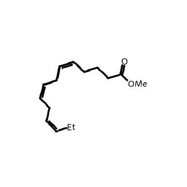 CC/C=C\C/C=C\C/C=C\CCCC(=O)OC